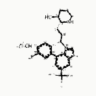 Cl.Cl.O[C@H]1CCCN[C@@H]1CCCn1cnc2cc(C(F)(F)F)cc(-c3cccc(F)c3)c21